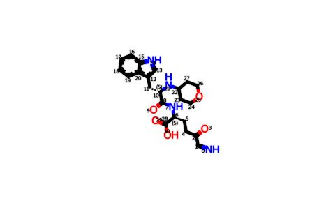 N=CC(=O)CC[C@H](NC(=O)[C@H](Cc1c[nH]c2ccccc12)NC1CCOCC1)C(=O)O